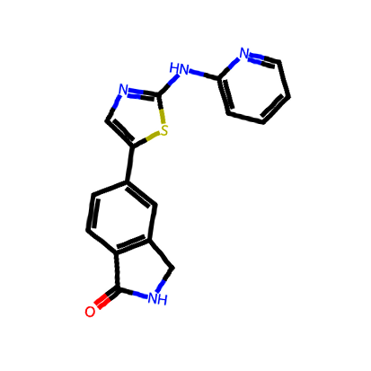 O=C1NCc2cc(-c3cnc(Nc4ccccn4)s3)ccc21